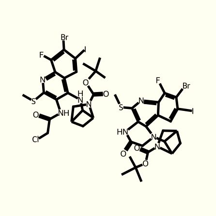 CSc1nc2c(F)c(Br)c(I)cc2c(NC2C3CC2N(C(=O)OC(C)(C)C)C3)c1NC(=O)CCl.CSc1nc2c(F)c(Br)c(I)cc2c2c1NC(=O)CN2C1C2CC1N(C(=O)OC(C)(C)C)C2